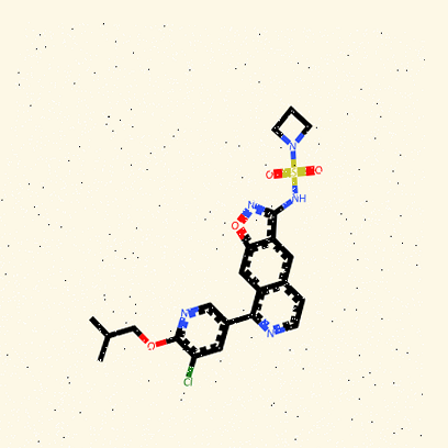 CC(C)COc1ncc(-c2nccc3cc4c(NS(=O)(=O)N5CCC5)noc4cc23)cc1Cl